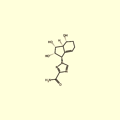 NC(=O)c1ncn([C@@H]2C3=CCC[C@@H](O)[C@@H]3[C@@H](O)[C@H]2O)n1